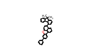 CC1(C)c2ccccc2-c2c(-c3ccc4c5c(cccc35)-c3ccc(-c5ccccc5)cc3O4)cccc21